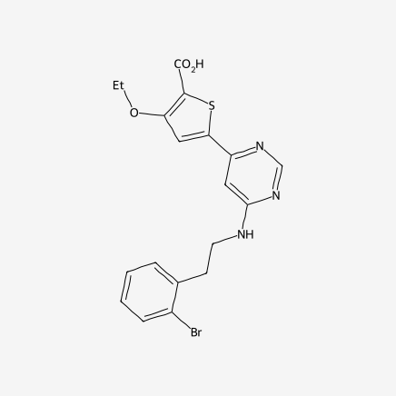 CCOc1cc(-c2cc(NCCc3ccccc3Br)ncn2)sc1C(=O)O